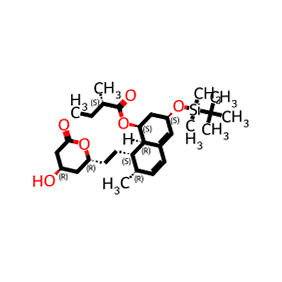 CC[C@H](C)C(=O)O[C@H]1C[C@H](O[Si](C)(C)C(C)(C)C)C=C2C=C[C@H](C)[C@H](CC[C@@H]3C[C@@H](O)CC(=O)O3)[C@H]21